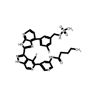 CCCCC(=O)Nc1cncc(-c2ncc3[nH]nc(-c4nc5c(-c6cc(F)cc(CNS(C)(=O)=O)c6)ccnc5[nH]4)c3c2F)c1